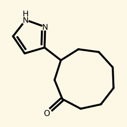 O=C1CCCCCCC(c2cc[nH]n2)C1